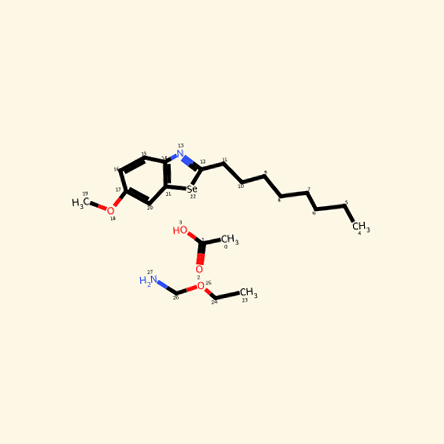 CC(=O)O.CCCCCCCCc1nc2ccc(OC)cc2[se]1.CCOCN